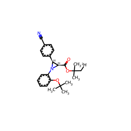 [2H]CC(C)(C)OC(=O)[C@@H]1[C@H](c2ccc(C#N)cc2)N1c1ccccc1OC(C)(C)C